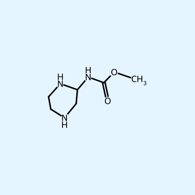 COC(=O)NC1CNCCN1